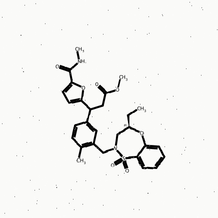 CC[C@@H]1CN(Cc2cc(C(CC(=O)OC)c3ccc(C(=O)NC)o3)ccc2C)S(=O)(=O)c2ccccc2O1